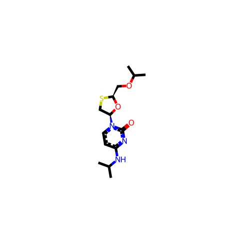 CC(C)Nc1ccn([C@H]2CS[C@@H](COC(C)C)O2)c(=O)n1